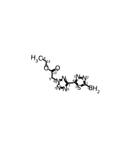 Bc1nnc(-c2nnn(CC(=O)OCC)n2)s1